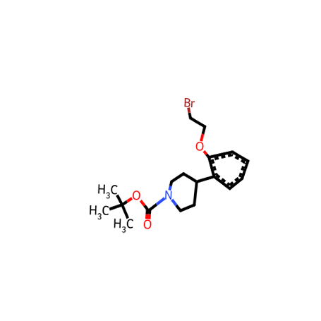 CC(C)(C)OC(=O)N1CCC(c2ccccc2OCCBr)CC1